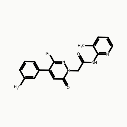 Cc1cccc(-c2cc(=O)n(CC(=O)Nc3ncccc3C)nc2C(C)C)c1